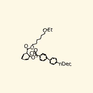 CCCCCCCCCCc1ccc(-c2ccc(C(=O)OC3(C(F)(F)F)C=CC=CC3C(=O)OCCCCCCOCC)cc2)cc1